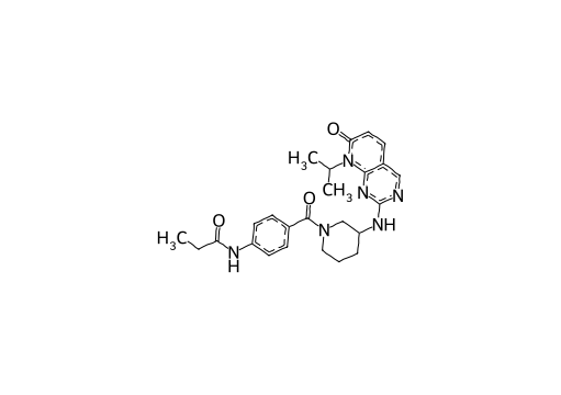 CCC(=O)Nc1ccc(C(=O)N2CCCC(Nc3ncc4ccc(=O)n(C(C)C)c4n3)C2)cc1